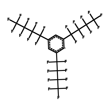 FC(F)(F)C(F)(F)C(F)(F)C(F)(F)c1[c]c(C(F)(F)C(F)(F)C(F)(F)C(F)(F)F)cc(C(F)(F)C(F)(F)C(F)(F)C(F)(F)F)c1